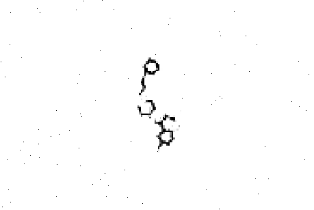 O=Cc1c(NC2CCN(C/C=C/c3ccccc3)CC2)c2cc(Cl)ccc2oc1=O